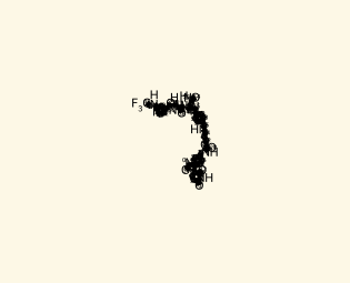 Cn1c(=O)n(C2CCC(=O)NC2=O)c2ccc(CNC(=O)OCCCNCc3ccc(-n4cc(NC(=O)c5coc(-c6ccnc(NCC(F)(F)F)c6)n5)c(C(N)=O)n4)cc3)cc21